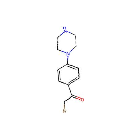 O=C(CBr)c1ccc(N2CCNCC2)cc1